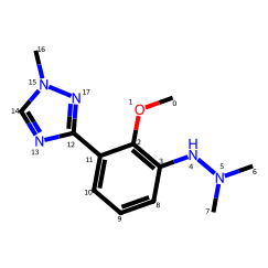 COc1c(NN(C)C)cccc1-c1ncn(C)n1